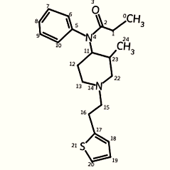 CCC(=O)N(c1ccccc1)C1CCN(CCc2cccs2)CC1C